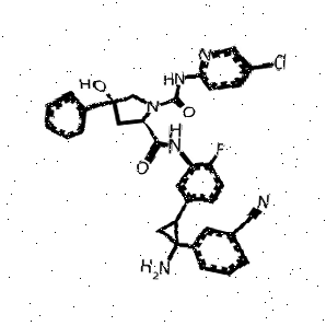 N#Cc1cccc(C2(N)CC2c2ccc(F)c(NC(=O)[C@H]3C[C@](O)(c4ccccc4)CN3C(=O)Nc3ccc(Cl)cn3)c2)c1